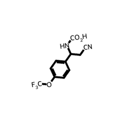 N#CCC(NC(=O)O)c1ccc(OC(F)(F)F)cc1